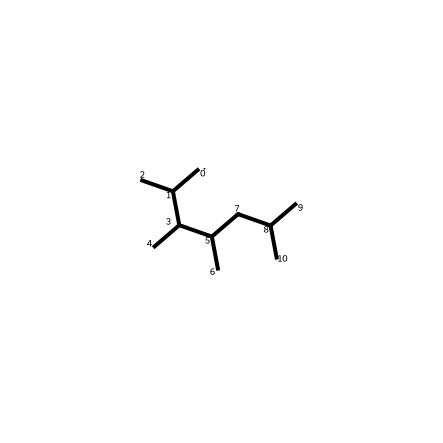 [CH2]C(C)C(C)C(C)CC(C)C